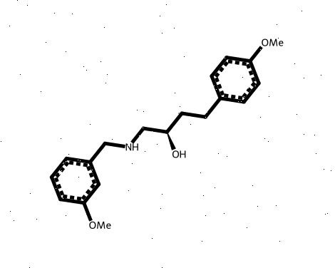 COc1ccc(C[CH][C@@H](O)CNCc2cccc(OC)c2)cc1